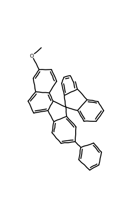 COc1ccc2c3c(ccc2c1)-c1ccc(-c2ccccc2)cc1C31c2ccccc2-c2ccccc21